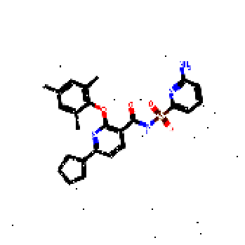 Cc1cc(C)c(Oc2nc(C3CCCC3)ccc2C(=O)NS(=O)(=O)c2cccc(N)n2)c(C)c1